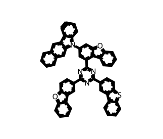 c1ccc2c(c#1)c1cc3ccccc3cc1n2-c1cc(-c2nc(-c3ccc4oc5ccccc5c4c3)nc(-c3ccc4sc5ccccc5c4c3)n2)c2c(c1)oc1ccccc12